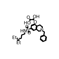 CCN(CC)CCCNS(=O)(=O)c1ccc2c(c1)CN(Cc1ccccc1)CC2.O=C(O)C(=O)O